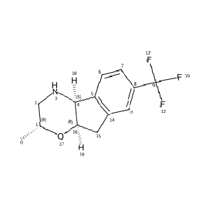 C[C@@H]1CN[C@H]2c3ccc(C(F)(F)F)cc3C[C@H]2O1